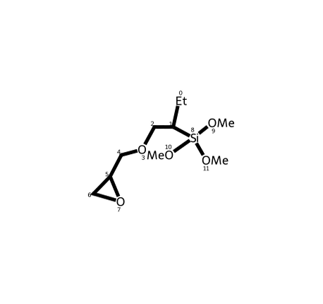 CCC(COCC1CO1)[Si](OC)(OC)OC